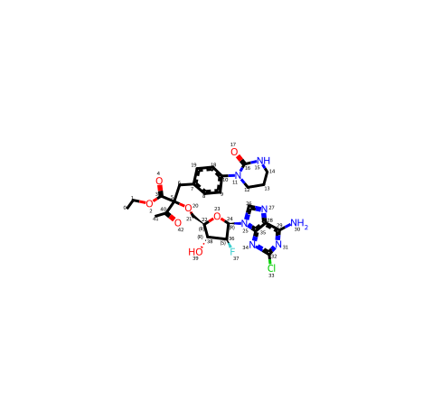 CCOC(=O)C(Cc1ccc(N2CCCNC2=O)cc1)(OC[C@H]1O[C@@H](n2cnc3c(N)nc(Cl)nc32)[C@@H](F)[C@@H]1O)C(C)=O